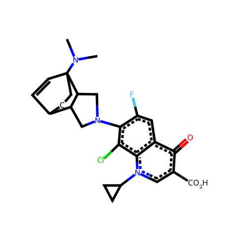 CN(C)C12C=CC(CC1)C1CN(c3c(F)cc4c(=O)c(C(=O)O)cn(C5CC5)c4c3Cl)CC12